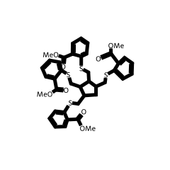 COC(=O)c1ccccc1SCC1CC(CSc2ccccc2C(=O)OC)C(CSc2ccccc2C(=O)OC)C1CSc1ccccc1C(=O)OC